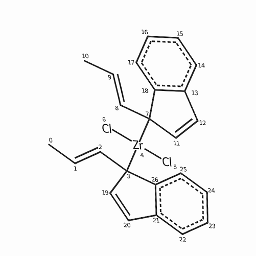 CC=C[C]1([Zr]([Cl])([Cl])[C]2(C=CC)C=Cc3ccccc32)C=Cc2ccccc21